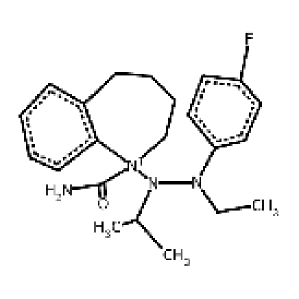 CCN(c1ccc(F)cc1)N(C(C)C)[N+]1(C(N)=O)CCCCc2ccccc21